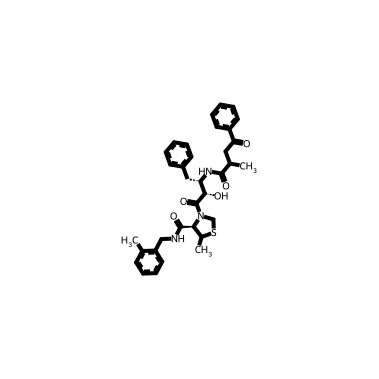 Cc1ccccc1CNC(=O)[C@@H]1C(C)SCN1C(=O)[C@@H](O)[C@H](Cc1ccccc1)NC(=O)C(C)CC(=O)c1ccccc1